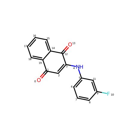 O=C1C=C(Nc2cccc(F)c2)C(=O)c2ccccc21